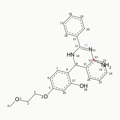 COCCOc1ccc(C(N/C(=N\CN)c2ccccc2)c2ccccc2)c(O)c1